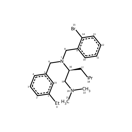 CCc1cccc(CN(Cc2ccccc2Br)[C@@H](CC(C)C)CN(C)C)c1